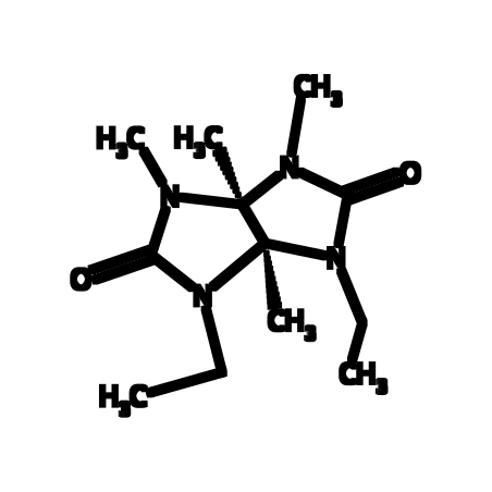 CCN1C(=O)N(C)[C@]2(C)N(C)C(=O)N(CC)[C@]12C